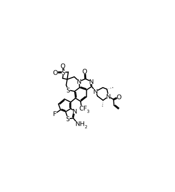 C=CC(=O)N1[C@H](C)CN(c2nc(=O)n3c4c(c(-c5ccc(F)c6sc(N)nc56)c(C(F)(F)F)cc24)SCC2(C3)CS(=O)(=O)C2)C[C@@H]1C